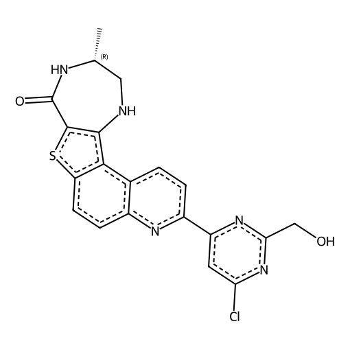 C[C@@H]1CNc2c(sc3ccc4nc(-c5cc(Cl)nc(CO)n5)ccc4c23)C(=O)N1